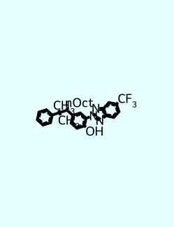 CCCCCCCCC(c1ccc(O)c(-n2nc3ccc(C(F)(F)F)cc3n2)c1)C(C)(C)c1ccccc1